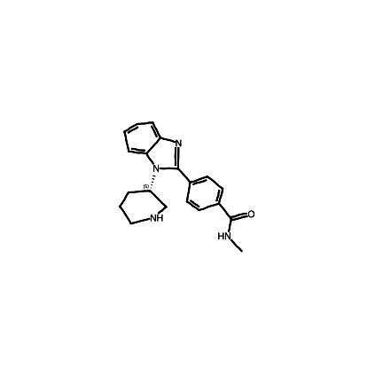 CNC(=O)c1ccc(-c2nc3ccccc3n2[C@H]2CCCNC2)cc1